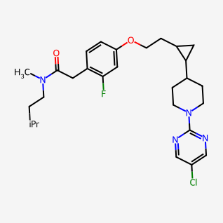 CC(C)CCN(C)C(=O)Cc1ccc(OCCC2CC2C2CCN(c3ncc(Cl)cn3)CC2)cc1F